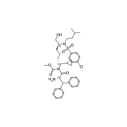 COC(=O)N(C(=O)[C@@H](N)C(c1ccccc1)c1ccccc1)[C@H](CCC[C@@H](CO)N(CCC(C)C)S(=O)(=O)c1ccc(Cl)cc1)C1CC1